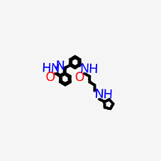 O=C(CCCCNCC1CCCC1)Nc1cccc(-c2n[nH]c(=O)c3ccccc23)c1